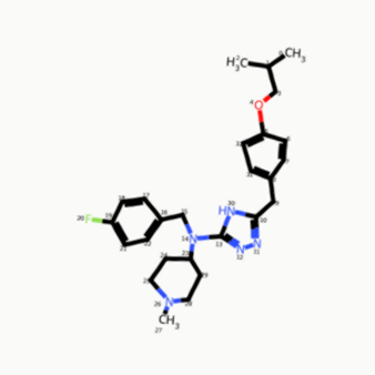 CC(C)COc1ccc(Cc2nnc(N(Cc3ccc(F)cc3)C3CCN(C)CC3)[nH]2)cc1